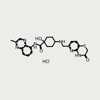 Cc1cnc2c(NC(=O)C3(O)CCC(NCc4ccc5c(n4)NC(=O)CS5)CC3)cccc2n1.Cl